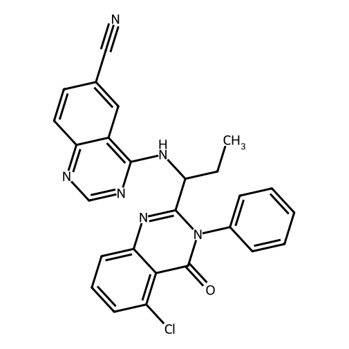 CCC(Nc1ncnc2ccc(C#N)cc12)c1nc2cccc(Cl)c2c(=O)n1-c1ccccc1